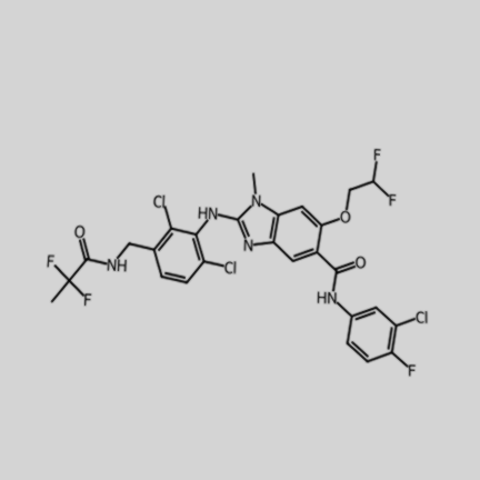 Cn1c(Nc2c(Cl)ccc(CNC(=O)C(C)(F)F)c2Cl)nc2cc(C(=O)Nc3ccc(F)c(Cl)c3)c(OCC(F)F)cc21